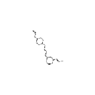 C=CCC1CCC(CCCCC2CCCC(C=CC)C2)CC1